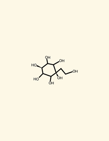 OCC[C@]1(O)C(O)C(O)[C@@H](O)C(O)C1O